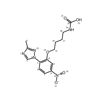 Cc1ncn(-c2ccc([N+](=O)[O-])cc2OCCCCNC(=O)O)n1